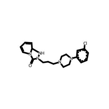 O=C1N(CCCN2CCN(c3cccc(Cl)c3)CC2)NC2C=CC=CN12